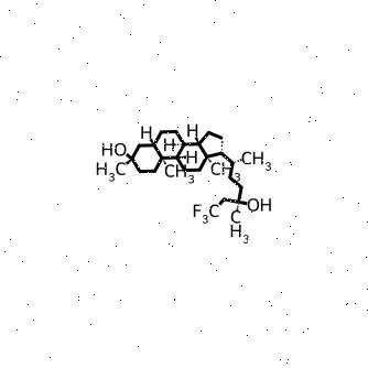 C[C@H](CC[C@@](C)(O)CC(F)(F)F)[C@H]1CC[C@H]2[C@@H]3CC[C@H]4C[C@@](C)(O)CC[C@]4(C)[C@H]3CC[C@]12C